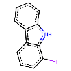 Ic1cccc2c1[nH]c1ccccc12